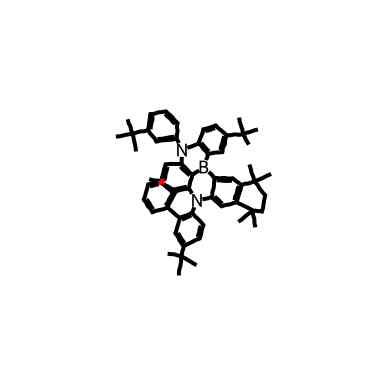 Cc1cc2c3c(c1)N(c1ccc(C(C)(C)C)cc1-c1ccccc1)c1cc4c(cc1B3c1cc(C(C)(C)C)ccc1N2c1cccc(C(C)(C)C)c1)C(C)(C)CCC4(C)C